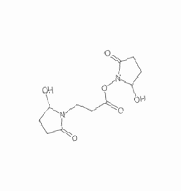 O=C(CCN1C(=O)CCC1O)ON1C(=O)CCC1O